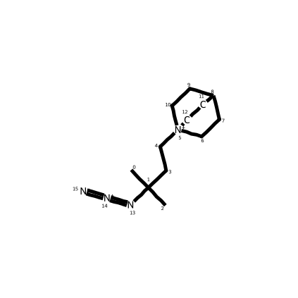 CC(C)(CC[N+]12CCC(CC1)CC2)N=[N+]=[N-]